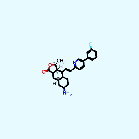 C[C@H]1OC(=O)C2C[C@@H]3CC(N)CCC3C(C=Cc3ccc(-c4cccc(F)c4)cn3)[C@@H]21